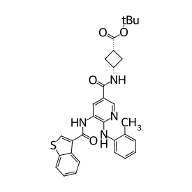 Cc1ccccc1Nc1ncc(C(=O)N[C@H]2C[C@@H](C(=O)OC(C)(C)C)C2)cc1NC(=O)c1csc2ccccc12